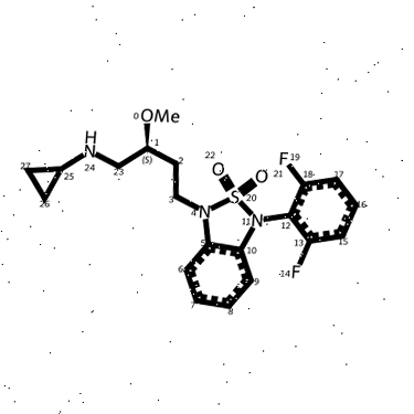 CO[C@@H](CCN1c2ccccc2N(c2c(F)cccc2F)S1(=O)=O)CNC1CC1